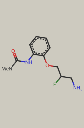 CNC(=O)Nc1ccccc1OCC(F)CN